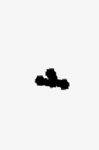 c1ccc(COc2ccc(OCc3ccccc3)c(Oc3ccccc3)c2)cc1